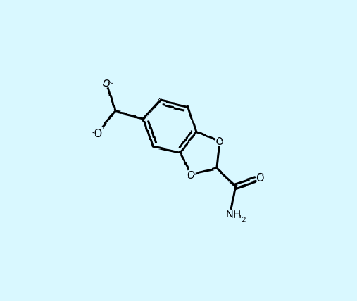 NC(=O)C1Oc2ccc(C([O])[O])cc2O1